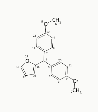 COc1ccc([C](c2ccc(OC)cc2)c2ccco2)cc1